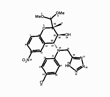 COC(OC)[C@@]1(C)Oc2ccc([N+](=O)[O-])cc2[C@@H](N(Cc2nnn[nH]2)c2ccc(Cl)cc2)[C@@H]1O